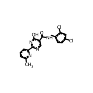 Cc1cccc(-c2ncc(C(=O)NCc3ccc(Cl)cc3Cl)c(O)n2)n1